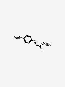 CNc1ccc(OCC(=O)OC(C)(C)C)cc1